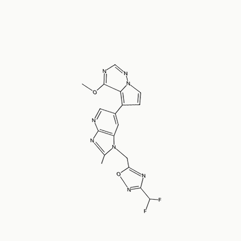 COc1ncnn2ccc(-c3cnc4nc(C)n(Cc5nc(C(F)F)no5)c4c3)c12